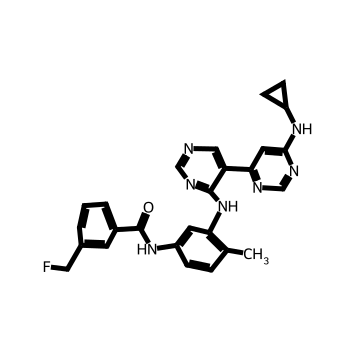 Cc1ccc(NC(=O)c2cccc(CF)c2)cc1Nc1ncncc1-c1cc(NC2CC2)ncn1